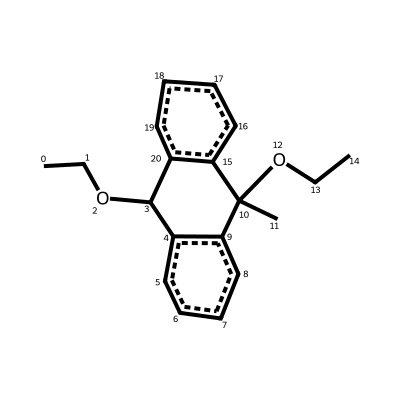 CCOC1c2ccccc2C(C)(OCC)c2ccccc21